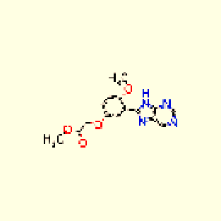 COC(=O)COc1ccc(OC)c(-c2nc3cncnc3[nH]2)c1